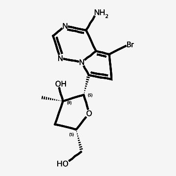 C[C@@]1(O)C[C@@H](CO)O[C@H]1c1cc(Br)c2c(N)ncnn12